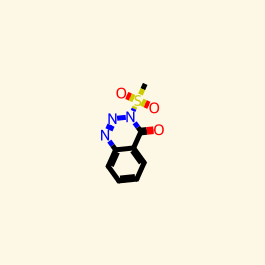 CS(=O)(=O)n1nnc2ccccc2c1=O